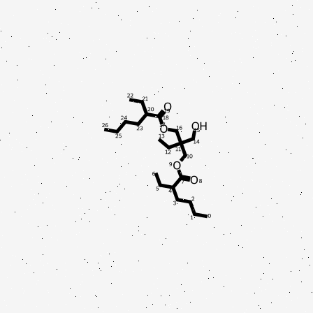 CCCCC(CC)C(=O)OCC(CC)(CO)COC(=O)C(CC)CCCC